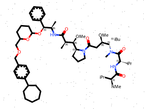 CC[C@H](C)[C@@H]([C@@H](CC(=O)N1CCC[C@H]1[C@H](OC)[C@@H](C)C(=O)N[C@H](C)[C@@H](OC1CCCC(COCc2ccc(C3CCCCCC3)cc2)O1)c1ccccc1)OC)N(C)C(=O)[C@@H](NC(=O)[C@@H](NC)C(C)C)C(C)C